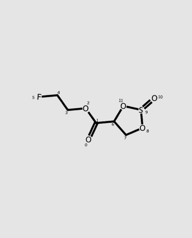 O=C(OCCF)C1COS(=O)O1